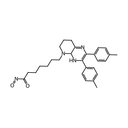 Cc1ccc(C2=C(c3ccc(C)cc3)NC3C(=N2)CCCN3CCCCCCC(=O)N=O)cc1